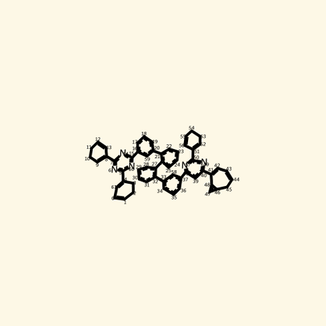 C1=CCCC(c2nc(C3=CCCC=C3)nc(-c3cccc(-c4ccccc4-c4ccccc4-c4cccc(-c5cc(C6=CC=CCC7C=C67)nc(C6=CCCC=C6)n5)c4)c3)n2)=C1